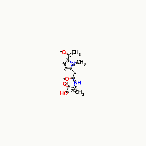 CC(=O)c1ccc(CC(=O)N[C@@H](C)C(=O)O)n1C